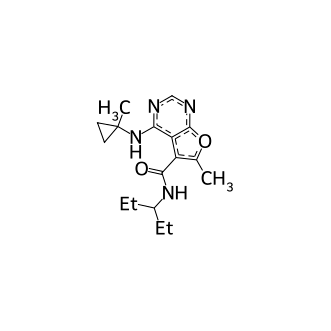 CCC(CC)NC(=O)c1c(C)oc2ncnc(NC3(C)CC3)c12